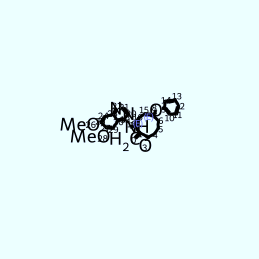 C=C1C(=O)CCC/C(Oc2ccccc2)=C\C=C/1Nc1ncnc2cc(OC)c(OC)cc12